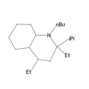 CCCCN1C2CCCCC2C(CC)CC1(CC)C(C)C